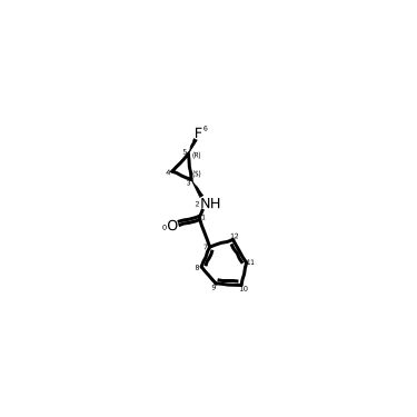 O=C(N[C@H]1C[C@H]1F)c1ccccc1